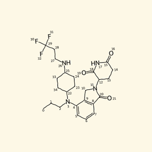 CCCN(c1cccc2c1CN(C1CCC(=O)NC1=O)C2=O)C1CCC(NCCC(F)(F)F)CC1